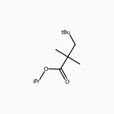 CC(C)OC(=O)C(C)(C)CC(C)(C)C